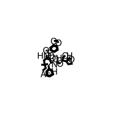 CC(=O)CCC(C)(C)CC(NS(=O)(=O)c1ccc2c(c1)OCO2)[C@H](O)[C@H](Cc1ccccc1)NC(=O)O[C@H]1CO[C@H]2OCC[C@H]21